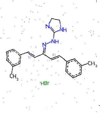 Br.Cc1cccc(/C=C/C(/C=C/c2cccc(C)c2)=NNC2=NCCN2)c1